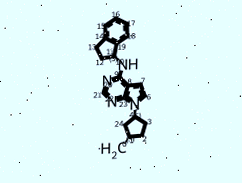 [CH2][C@H]1CC[C@H](n2ccc3c(N[C@H]4CCc5ccccc54)ncnc32)C1